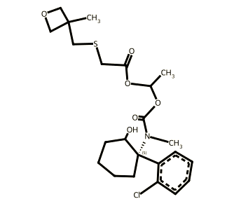 CC(OC(=O)CSCC1(C)COC1)OC(=O)N(C)[C@]1(c2ccccc2Cl)CCCCC1O